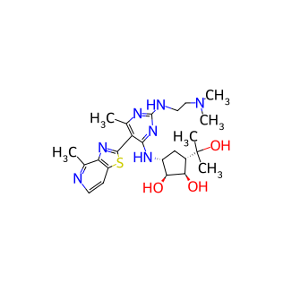 Cc1nc(NCCN(C)C)nc(N[C@@H]2C[C@H](C(C)(C)O)[C@@H](O)[C@H]2O)c1-c1nc2c(C)nccc2s1